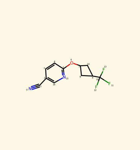 N#Cc1ccc(OC2CC(C(F)(F)F)C2)nc1